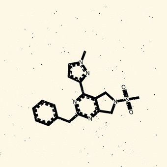 Cn1ccc(-c2nc(Cc3ccccc3)nc3c2CN(S(C)(=O)=O)C3)n1